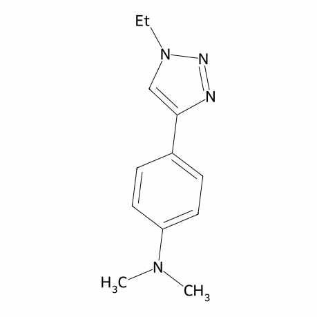 CCn1cc(-c2ccc(N(C)C)cc2)nn1